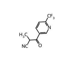 CC(C#N)C(=O)c1ccc(C(F)(F)F)nc1